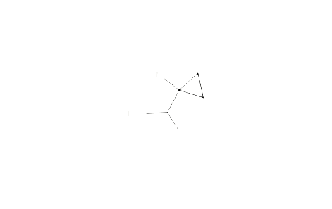 CC(O)C1(N)CC1